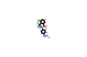 Nc1ccc(NC(=O)c2cccc(F)c2C(F)(F)F)cc1